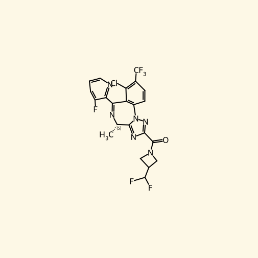 C[C@@H]1N=C(c2ncccc2F)c2c(ccc(C(F)(F)F)c2Cl)-n2nc(C(=O)N3CC(C(F)F)C3)nc21